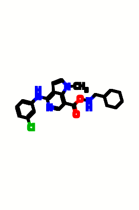 Cn1ccc2c(Nc3cccc(Cl)c3)ncc(C(=O)ONCC3CCCCC3)c21